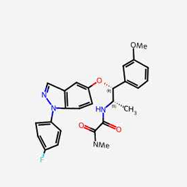 CNC(=O)C(=O)N[C@@H](C)[C@H](Oc1ccc2c(cnn2-c2ccc(F)cc2)c1)c1cccc(OC)c1